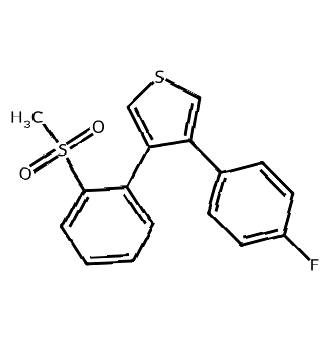 CS(=O)(=O)c1ccccc1-c1cscc1-c1ccc(F)cc1